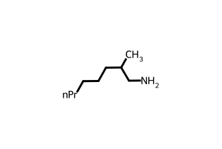 CCCCCCC(C)CN